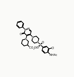 CCOC(=O)C1CCCN(c2c(N3CCN(S(=O)(=O)c4ccc(NC(C)=O)c(Cl)c4)CC3)cnn(-c3ccccc3)c2=O)C1